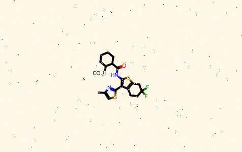 Cc1csc(-c2c(NC(=O)C3CCCCC3C(=O)O)sc3c2CCC(F)(F)C3)n1